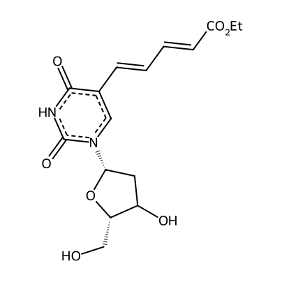 CCOC(=O)C=CC=Cc1cn([C@@H]2CC(O)[C@H](CO)O2)c(=O)[nH]c1=O